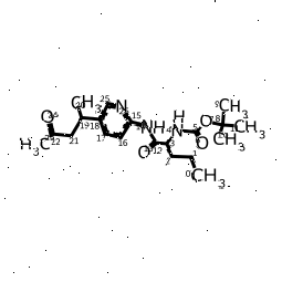 CCCC(NC(=O)OC(C)(C)C)C(=O)Nc1ccc(C(C)CC(C)=O)cn1